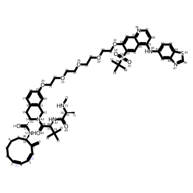 C=C1/C=C\C=C/CCCC[C@H]1NC(=O)[C@@H]1Cc2ccc(OCCOCCOCCOCCOc3cc4nccc(Nc5ccc6scnc6c5)c4cc3S(=O)(=O)C(C)(C)C)cc2CN1C(=O)[C@@H](NC(=O)[C@H](C)NC)C(C)(C)C